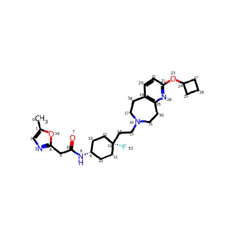 Cc1cnc(CC(=O)N[C@H]2CC[C@](F)(CCN3CCc4ccc(OC5CCC5)nc4CC3)CC2)o1